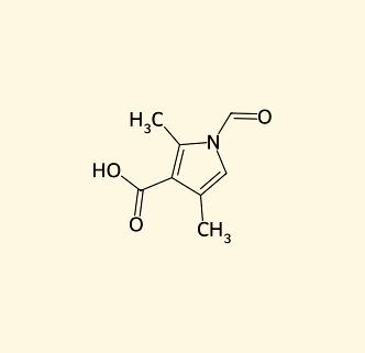 Cc1cn(C=O)c(C)c1C(=O)O